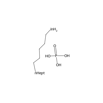 CCCCCCCCCCC[CH2][InH2].O=P(O)(O)O